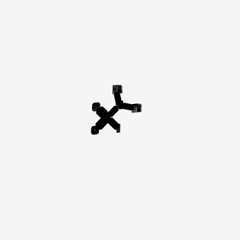 CCN(CC)S(=O)(=O)I